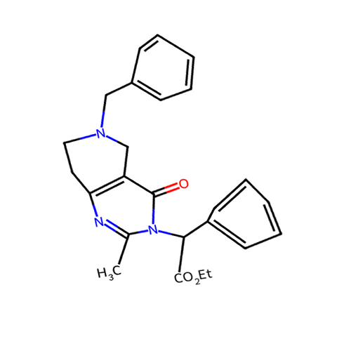 CCOC(=O)C(c1ccccc1)n1c(C)nc2c(c1=O)CN(Cc1ccccc1)CC2